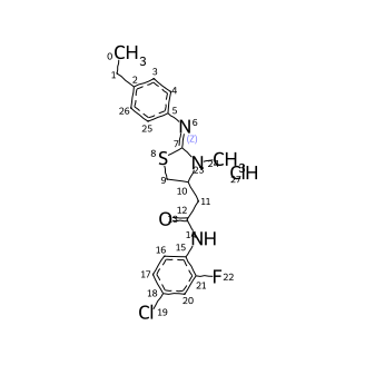 CCc1ccc(/N=C2\SCC(CC(=O)Nc3ccc(Cl)cc3F)N2C)cc1.Cl